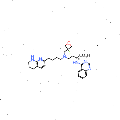 O=C(O)[C@H](CCN(CCCCc1ccc2c(n1)NCCC2)CC1(F)COC1)Nc1ncnc2ccccc12